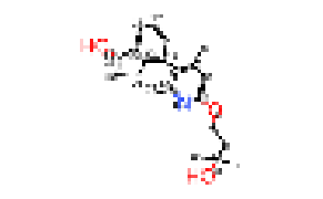 Cc1cc(OCCC(C)(C)O)nc(C)c1-c1cccc2c1CCC2O